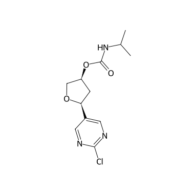 CC(C)NC(=O)O[C@@H]1CO[C@H](c2cnc(Cl)nc2)C1